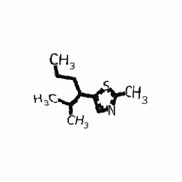 CCCC(c1cnc(C)s1)C(C)C